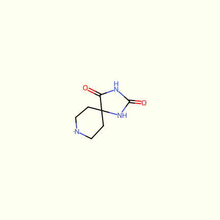 O=C1NC(=O)C2(CC[N]CC2)N1